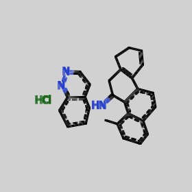 Cc1cccc2ccc3c(c12)C(=N)CC1=C3C=CCC1.Cl.c1ccc2nnccc2c1